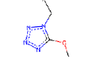 [CH2]Cn1nnnc1OC